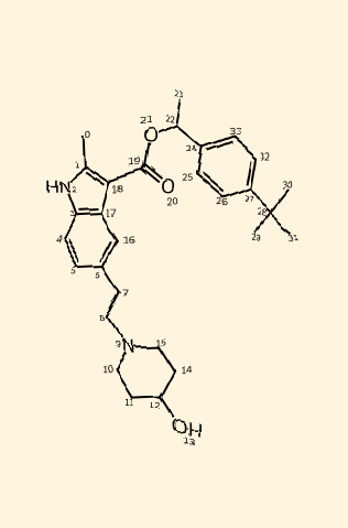 Cc1[nH]c2ccc(CCN3CCC(O)CC3)cc2c1C(=O)OC(C)c1ccc(C(C)(C)C)cc1